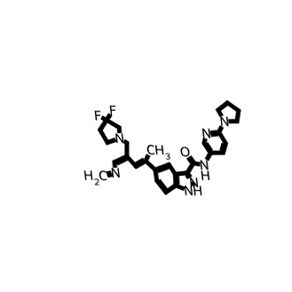 C=N/C=C(\C=C(/C)c1ccc2[nH]nc(C(=O)Nc3ccc(N4CCCC4)nc3)c2c1)CN1CCC(F)(F)C1